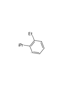 CCc1ccc[c]c1C(C)C